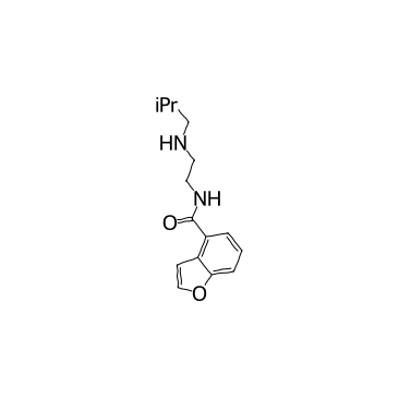 CC(C)CNCCNC(=O)c1cccc2occc12